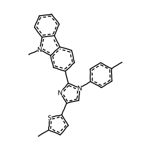 Cc1ccc(-n2cc(-c3ccc(C)s3)nc2-c2ccc3c4ccccc4n(C)c3c2)cc1